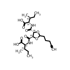 C#CCCCC1O[C@@H](C(=O)N[C@H](C(=O)O)[C@@H](C)CC)[C@H](C(=O)N[C@H](C(=O)O)[C@@H](C)CC)O1